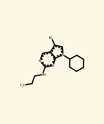 FC(F)(F)CCNc1ncc2c(Br)cn(C3CCCCC3)c2n1